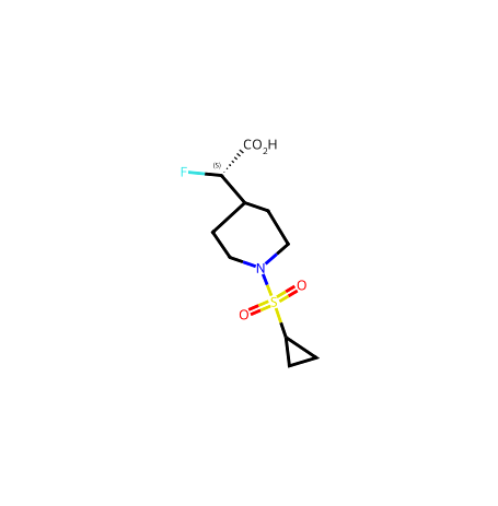 O=C(O)[C@@H](F)C1CCN(S(=O)(=O)C2CC2)CC1